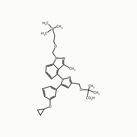 Cc1nn(COCC[Si](C)(C)C)c2cccc(-n3nc(COC(C)(C)C(=O)O)cc3-c3cccc(OC4CC4)c3)c12